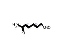 NC(=O)/C=C/C=C/CC=O